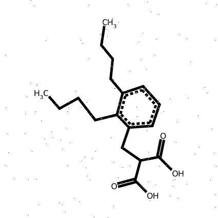 CCCCc1cccc(CC(C(=O)O)C(=O)O)c1CCCC